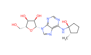 C[C@H]1CCC[C@@]1(O)Nc1ncnc2c1ncn2[C@@H]1O[C@H](CO)[C@@H](O)[C@H]1O